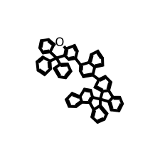 c1ccc(C2(c3ccccc3)c3ccccc3Oc3ccc(-c4ccc(-c5ccc6c(c5)C5(c7ccccc7-6)c6ccccc6-c6c5ccc5ccccc65)c5ccccc45)cc32)cc1